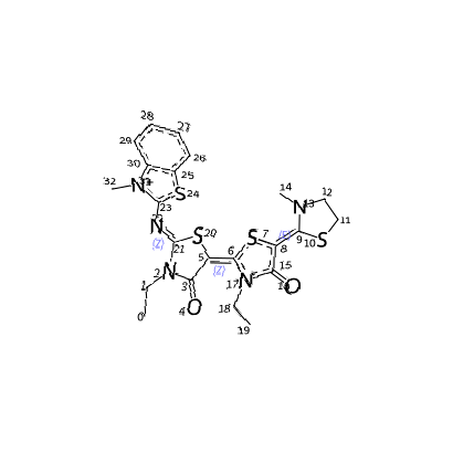 CCN1C(=O)/C(=c2/s/c(=C3/SCCN3C)c(=O)n2CC)S/C1=N\c1sc2ccccc2[n+]1C